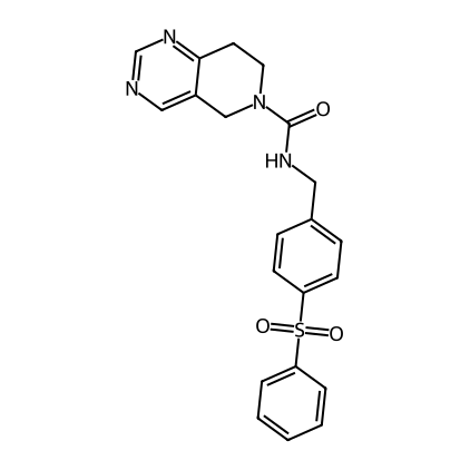 O=C(NCc1ccc(S(=O)(=O)c2ccccc2)cc1)N1CCc2ncncc2C1